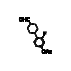 CC(=O)Oc1ccc(C2CCC(C=O)CC2)c(F)c1